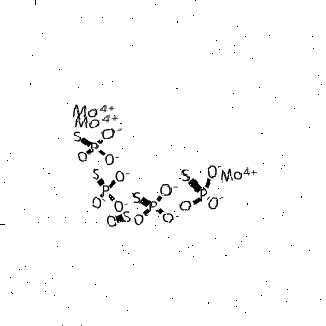 O=S.[Mo+4].[Mo+4].[Mo+4].[O-]P([O-])([O-])=S.[O-]P([O-])([O-])=S.[O-]P([O-])([O-])=S.[O-]P([O-])([O-])=S